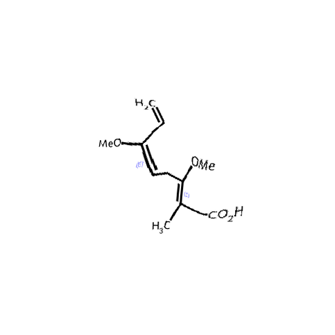 C=C/C(=C\C(OC)=C(/C)C(=O)O)OC